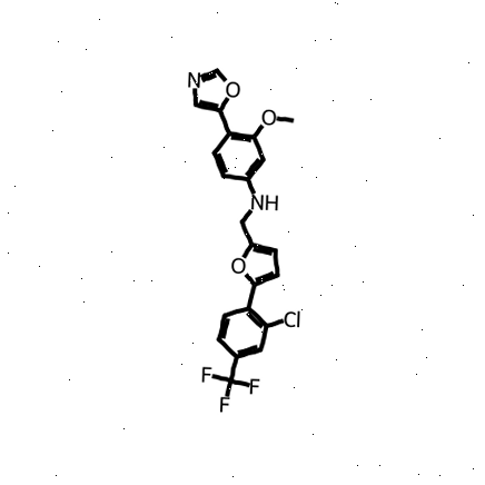 COc1cc(NCc2ccc(-c3ccc(C(F)(F)F)cc3Cl)o2)ccc1-c1cnco1